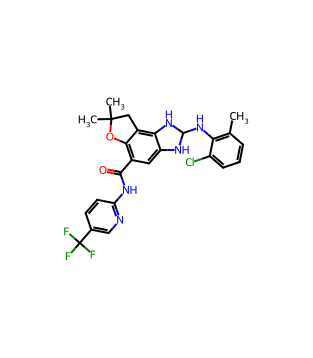 Cc1cccc(Cl)c1NC1Nc2cc(C(=O)Nc3ccc(C(F)(F)F)cn3)c3c(c2N1)CC(C)(C)O3